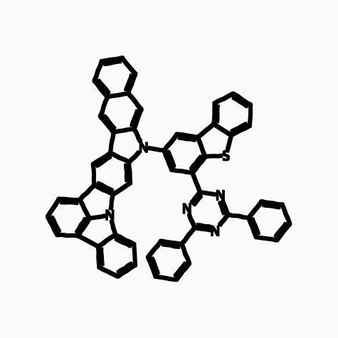 c1ccc(-c2nc(-c3ccccc3)nc(-c3cc(-n4c5cc6ccccc6cc5c5cc6c7cccc8c9ccccc9n(c6cc54)c87)cc4c3sc3ccccc34)n2)cc1